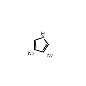 [Na].[Na].c1cc[pH]c1